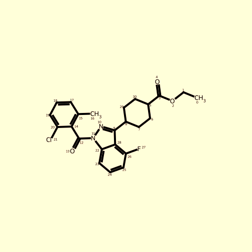 CCOC(=O)C1CCC(c2nn(C(=O)c3c(C)cccc3Cl)c3cccc(F)c23)CC1